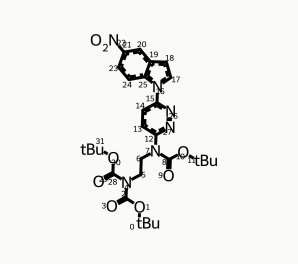 CC(C)(C)OC(=O)N(CCN(C(=O)OC(C)(C)C)c1ccc(-n2ccc3cc([N+](=O)[O-])ccc32)nn1)C(=O)OC(C)(C)C